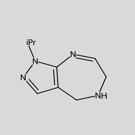 CC(C)n1ncc2c1N=CCNC2